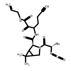 C#CCCC(NC(=O)[C@@H]1C2C(CN1C(=O)[C@@H](N=C=O)C(C)(C)C)C2(C)C)C(=O)C(=O)NCC=C